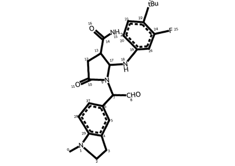 CN1CCc2cc(C(C=O)N3C(=O)CC(C(N)=O)C3Nc3ccc(C(C)(C)C)c(F)c3)ccc21